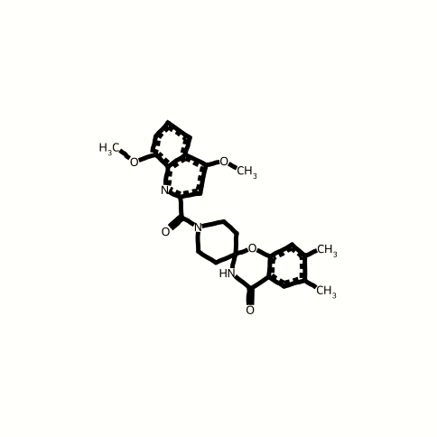 COc1cc(C(=O)N2CCC3(CC2)NC(=O)c2cc(C)c(C)cc2O3)nc2c(OC)cccc12